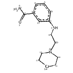 NC(=O)c1cccc(NCCN2CCOCC2)c1